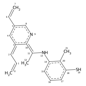 C=C/C=c1/cc(C=C)cn/c1=C(/C)Nc1cccc(S)c1C